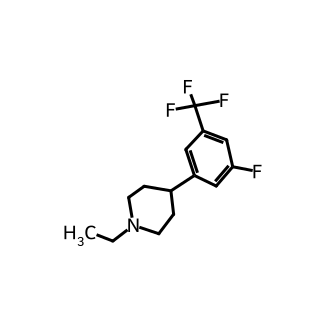 CCN1CCC(c2cc(F)cc(C(F)(F)F)c2)CC1